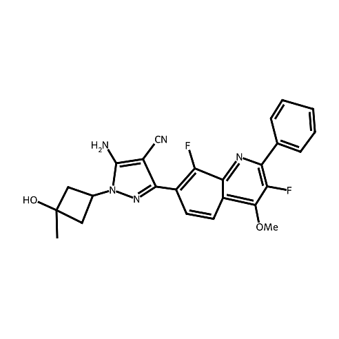 COc1c(F)c(-c2ccccc2)nc2c(F)c(-c3nn(C4CC(C)(O)C4)c(N)c3C#N)ccc12